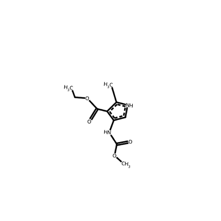 CCOC(=O)c1c(NC(=O)OC)c[nH]c1C